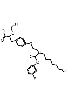 CCCCCCCN(CCOc1ccc(CC(OCC)C(=O)O)cc1)C(=O)Oc1cccc(F)c1